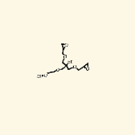 CCC(COCCOC)(COCC1CO1)COCC1CO1